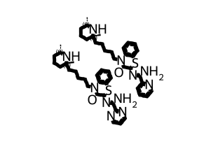 C[C@H]1CCC[C@@](C)(CCCCCN2C(=O)C(N=C(N)c3ccccn3)Sc3ccccc32)N1.C[C@H]1CCC[C@@](C)(CCCCCN2C(=O)C(N=C(N)c3ncccn3)Sc3ccccc32)N1